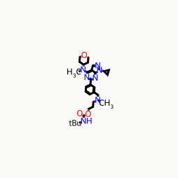 CN(CCCOC(=O)NC(C)(C)C)Cc1cccc(-c2nc(N(C)C3CCOCC3)c3cnn(C4CC4)c3n2)c1